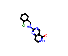 O=c1[nH]ccc2nc(NCc3ccccc3Cl)ncc12